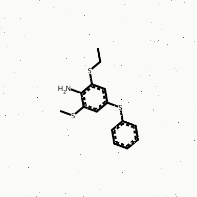 CCSc1cc(Sc2ccccc2)cc(SC)c1N